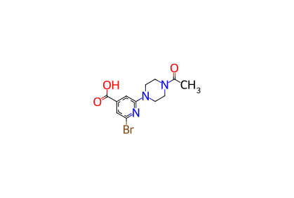 CC(=O)N1CCN(c2cc(C(=O)O)cc(Br)n2)CC1